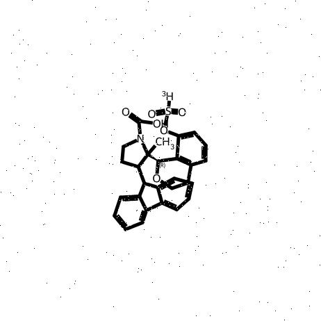 [3H]S(=O)(=O)Oc1cccc2c1[C@H](C1(C)C(C3c4ccccc4-c4ccccc43)CCN1C(=O)O)OCC2